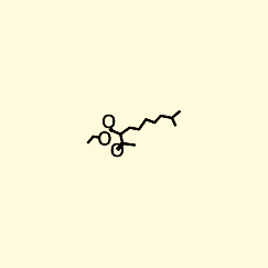 CCOC(=O)C(CCCCCC(C)C)C(C)=O